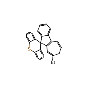 CCC1=CC2=C(C=CC1)c1ccccc1C21c2ccccc2Sc2ccccc21